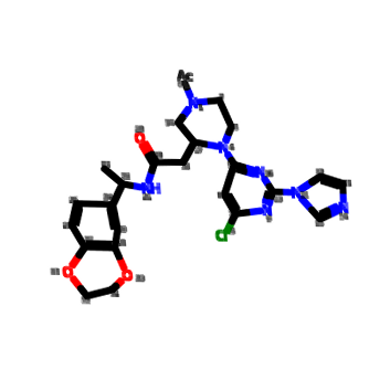 CC(=O)N1CCN(c2cc(Cl)nc(-n3ccnc3)n2)C(CC(=O)NC(C)c2ccc3c(c2)OCCO3)C1